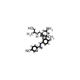 CC(CO)NC[C@]12C[C@H]1[C@@](C)(c1cc(/C=C(\F)c3ccc(C#N)cn3)ccc1F)N=C(N)S2